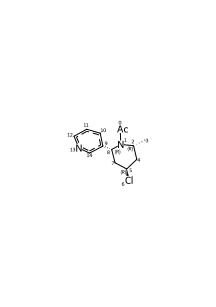 CC(=O)N1[C@H](C)C[C@@H](Cl)C[C@@H]1c1cccnc1